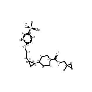 CC1(COC(=O)N2CCC([C@H]3C[C@H]3CCOc3ccc(S(C)(=O)=O)cn3)CC2)CC1